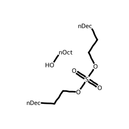 CCCCCCCCCCCCOS(=O)(=O)OCCCCCCCCCCCC.CCCCCCCCO